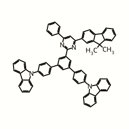 CC1(C)c2ccccc2-c2ccc(-c3cc(-c4ccccc4)nc(-c4cc(-c5ccc(-n6c7ccccc7c7ccccc76)cc5)cc(-c5ccc(-n6c7ccccc7c7ccccc76)cc5)c4)n3)cc21